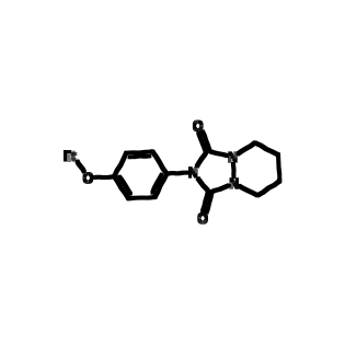 CCOc1ccc(-n2c(=O)n3n(c2=O)CCCC3)cc1